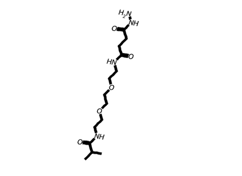 CC(C)C(=O)NCCOCCOCCNC(=O)CCC(=O)NN